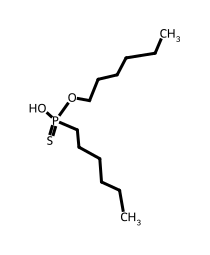 CCCCCCOP(O)(=S)CCCCCC